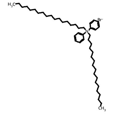 CCCCCCCCCCCCCCCCCC[N+](CCCCCCCCCCCCCCCCCC)(c1ccccc1)c1ccccc1.[Br-]